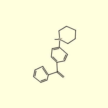 C=C(c1ccccc1)c1ccc([N+]2(C)CCCCC2)cc1